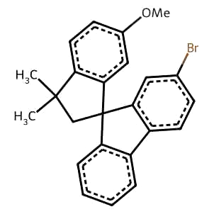 COc1ccc2c(c1)C1(CC2(C)C)c2ccccc2-c2ccc(Br)cc21